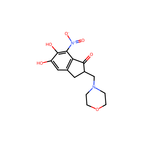 O=C1c2c(cc(O)c(O)c2[N+](=O)[O-])CC1CN1CCOCC1